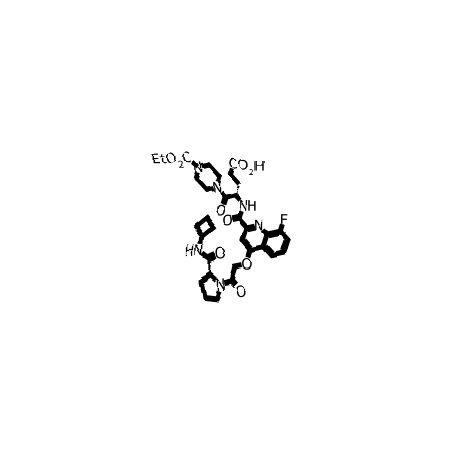 CCOC(=O)N1CCN(C(=O)[C@H](CCC(=O)O)NC(=O)c2cc(OCC(=O)N3CCC[C@H]3C(=O)NC3CCC3)c3cccc(F)c3n2)CC1